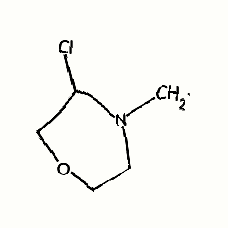 [CH2]N1CCOCC1Cl